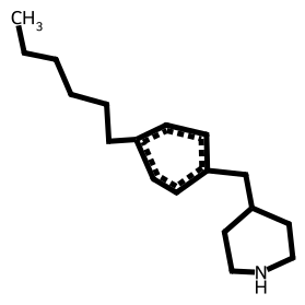 CCCCCCc1ccc(CC2CCNCC2)cc1